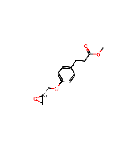 COC(=O)CCc1ccc(OC[C@@H]2CO2)cc1